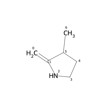 C=C1NCCC1C